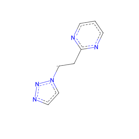 [CH](Cc1ncccn1)n1ccnn1